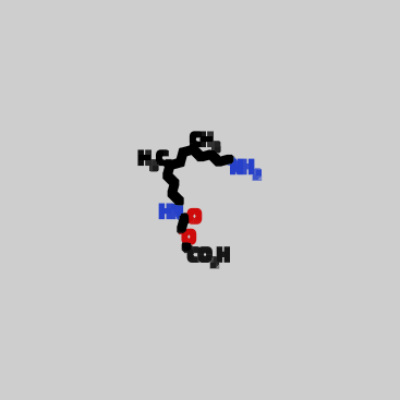 CC(CCCCN)CCC(C)CCCCNC(=O)COCC(=O)O